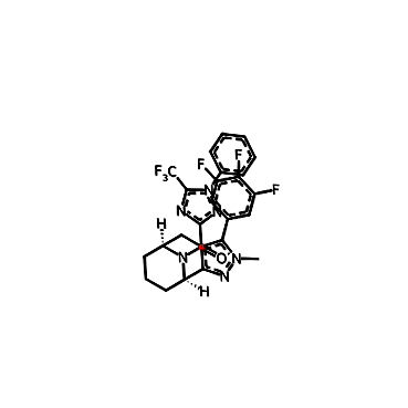 Cn1nc2c(c1-c1cc(F)c(F)c(F)c1)C[C@@H]1CCC[C@H]2N1C(=O)c1nc(C(F)(F)F)n(-c2ccccc2)n1